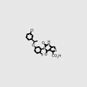 CC(Oc1ccc(F)c(-n2c(=O)[nH]c3csc(C(=O)O)c3c2=O)c1)c1cccc(Cl)c1